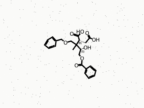 CC(COCc1ccccc1)([C@H](O)COC(=O)c1ccccc1)[C@@H](CC(=O)O)C(=O)O